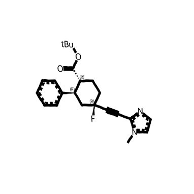 Cn1ccnc1C#C[C@@]1(F)CC[C@@H](C(=O)OC(C)(C)C)[C@H](c2ccccc2)C1